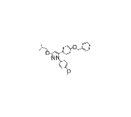 COc1ccc(-n2nc(OCC(C)C)cc2-c2ccc(OCc3ccccc3)cc2)cc1